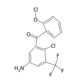 Nc1cc(C(=O)c2ccccc2OCl)c(Cl)c(C(F)(F)F)c1